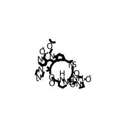 CCO[C@@H]1c2nc(cs2)-c2ccc3c(c2)c(c(-c2cc(N4CCN(C)CC4)cnc2[C@H](C)OC)n3CCOC(C)C)CC(C)(C)COC(=O)[C@@H]2CCCN(N2)C(=O)[C@H]1NC(=O)N1CC[C@H]1COC